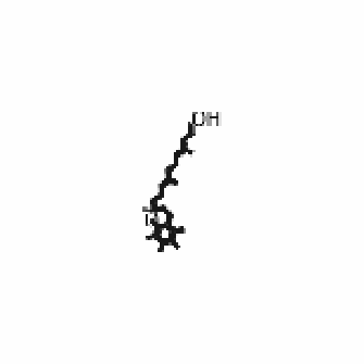 C/C(=C\CC[C@]1(C)CCc2c(C)c(C)c(C)c(C)c2O1)CC/C=C(\C)CCCO